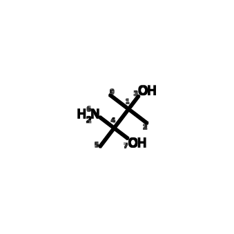 CC(C)(O)C(C)(N)O